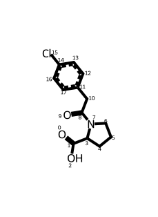 O=C(O)C1CCCN1C(=O)Cc1ccc(Cl)cc1